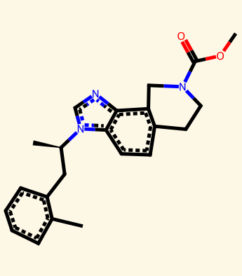 COC(=O)N1CCc2ccc3c(ncn3[C@H](C)Cc3ccccc3C)c2C1